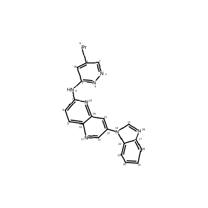 CC(C)c1cnnc(Nc2ccc3ncc(-n4cnc5ccccc54)cc3n2)c1